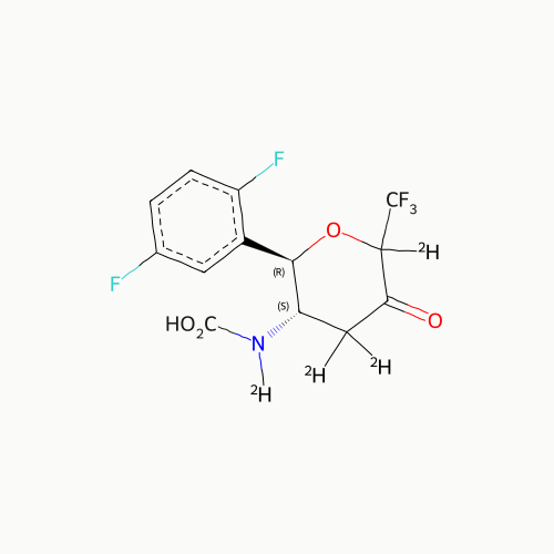 [2H]N(C(=O)O)[C@@H]1[C@@H](c2cc(F)ccc2F)OC([2H])(C(F)(F)F)C(=O)C1([2H])[2H]